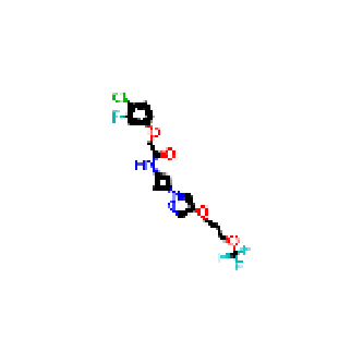 O=C(COc1ccc(Cl)c(F)c1)NC12CC(n3cc(OCCCOC(F)(F)F)cn3)(C1)C2